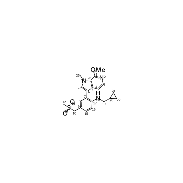 COc1nccc2c(-c3cc(CS(C)(=O)=O)ccc3NCC3CC3)cn(C)c12